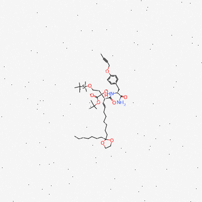 CC#CCOc1ccc(C[C@H](NC(=O)[C@@H](/C=C/CCCCCCC2(CCCCCCC)OCCO2)[C@@](O)(CCO[Si](C)(C)C(C)(C)C)C(=O)OC(C)(C)C)C(N)=O)cc1